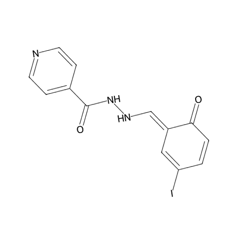 O=C1C=CC(I)=C/C1=C\NNC(=O)c1ccncc1